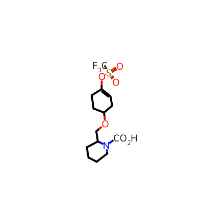 O=C(O)N1CCCCC1COC1CC=C(OS(=O)(=O)C(F)(F)F)CC1